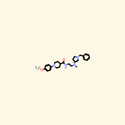 CN(CCNC(=O)C1CCN(c2ccc(OC(F)(F)F)cc2)CC1)[C@H]1CCN(Cc2ccccc2)C1